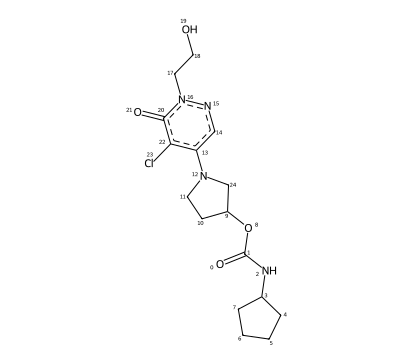 O=C(NC1CCCC1)OC1CCN(c2cnn(CCO)c(=O)c2Cl)C1